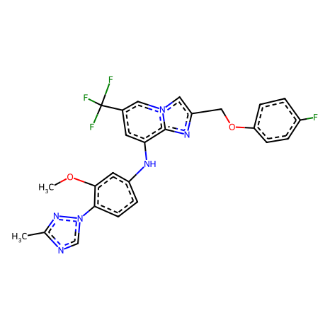 COc1cc(Nc2cc(C(F)(F)F)cn3cc(COc4ccc(F)cc4)nc23)ccc1-n1cnc(C)n1